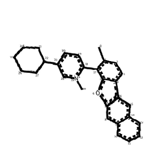 Cc1ccc2c(oc3cc4ccccc4cc32)c1-c1ccc(C2CCCCC2)c[n+]1C